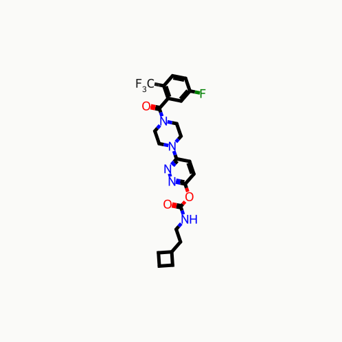 O=C(NCCC1CCC1)Oc1ccc(N2CCN(C(=O)c3cc(F)ccc3C(F)(F)F)CC2)nn1